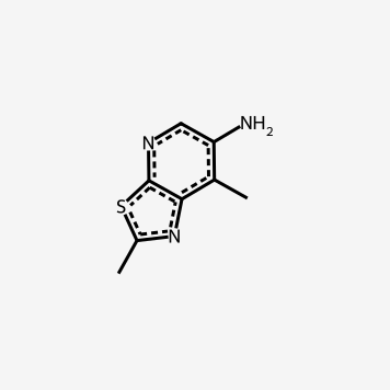 Cc1nc2c(C)c(N)cnc2s1